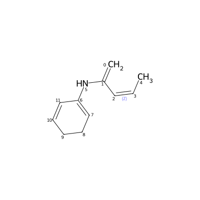 C=C(/C=C\C)NC1=CCCC=C1